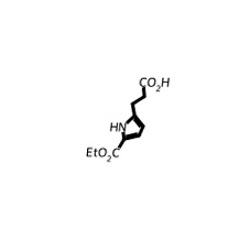 CCOC(=O)c1ccc(CCC(=O)O)[nH]1